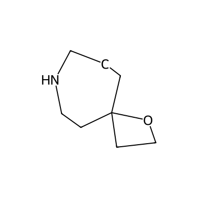 C1CNCCC2(C1)CCO2